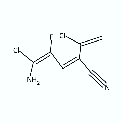 C=C(Cl)/C(C#N)=C\C(F)=C(/N)Cl